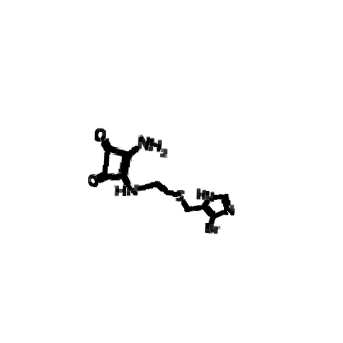 Nc1c(NCCSCc2[nH]cnc2Br)c(=O)c1=O